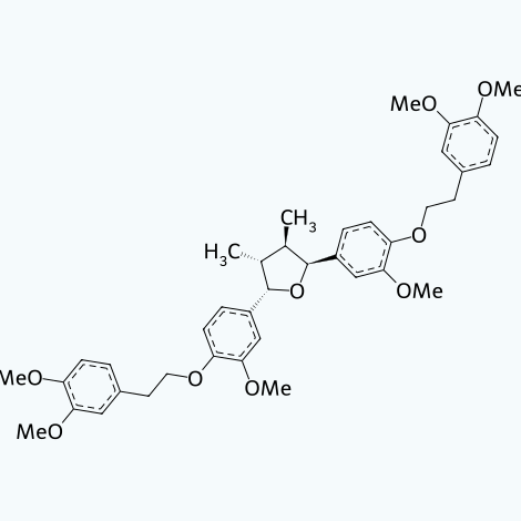 COc1ccc(CCOc2ccc([C@H]3O[C@H](c4ccc(OCCc5ccc(OC)c(OC)c5)c(OC)c4)[C@H](C)[C@H]3C)cc2OC)cc1OC